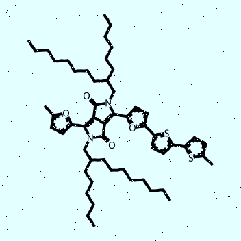 CCCCCCCCC(CCCCCC)CN1C(=O)C2=C(c3ccc(-c4ccc(-c5ccc(C)s5)s4)o3)N(CC(CCCCCC)CCCCCCCC)C(=O)C2=C1c1ccc(C)o1